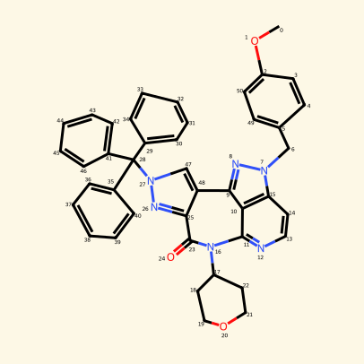 COc1ccc(Cn2nc3c4c(nccc42)N(C2CCOCC2)C(=O)c2nn(C(c4ccccc4)(c4ccccc4)c4ccccc4)cc2-3)cc1